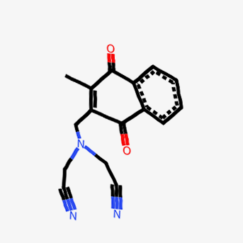 CC1=C(CN(CC#N)CC#N)C(=O)c2ccccc2C1=O